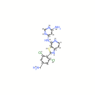 NCc1cc(Cl)c(-c2nc3ccnc(Nc4cc(N)ncn4)c3s2)c(Cl)c1